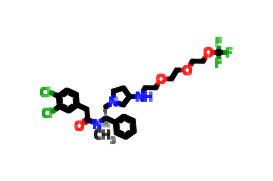 CN(C(=O)Cc1ccc(Cl)c(Cl)c1)[C@H](CN1CCC(NCCOCCOCCOC(F)(F)F)C1)c1ccccc1